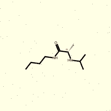 CCCCNC(=O)[C@H](C)NC(C)C